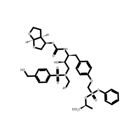 CCOC(=O)[C@H](C)OP(=O)(COc1ccc(C[C@H](NC(=O)O[C@H]2CO[C@H]3OCC[C@H]32)[C@H](O)CN(CC(C)C)S(=O)(=O)c2ccc(CO)cc2)cc1)Oc1ccccc1